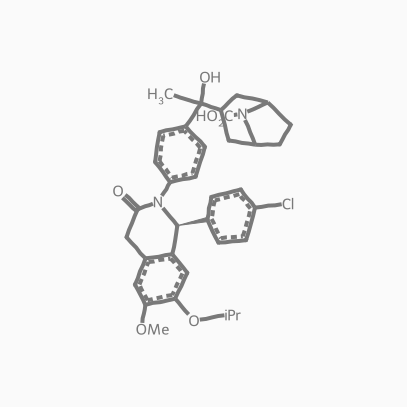 COc1cc2c(cc1OC(C)C)[C@H](c1ccc(Cl)cc1)N(c1ccc(C(C)(O)C3CC4CCC(C3)N4C(=O)O)cc1)C(=O)C2